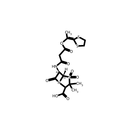 CC(OC(=O)CC(=O)N[C@@H]1C(=O)N2C(C(=O)O)C(C)(C)S(=O)(=O)[C@@H]12)=C1SCCS1